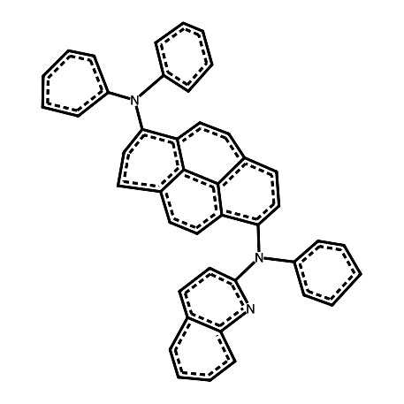 c1ccc(N(c2ccccc2)c2ccc3ccc4c(N(c5ccccc5)c5ccc6ccccc6n5)ccc5ccc2c3c54)cc1